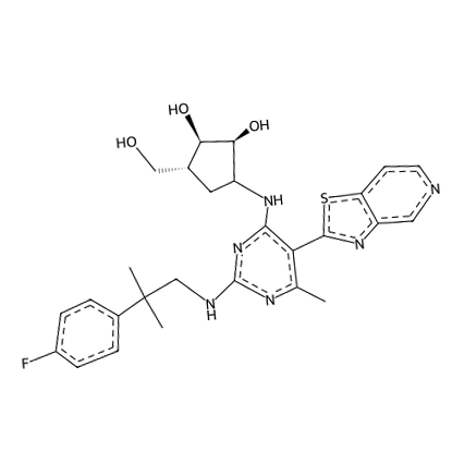 Cc1nc(NCC(C)(C)c2ccc(F)cc2)nc(NC2C[C@H](CO)[C@@H](O)[C@H]2O)c1-c1nc2cnccc2s1